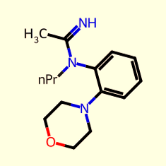 CCCN(C(C)=N)c1ccccc1N1CCOCC1